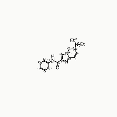 CCN(CC)N1C=CC2=NC(C(=O)Nc3ccccc3)=C[N+]2C1